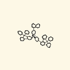 c1ccc(C2(c3ccccc3)c3ccccc3-c3ccc(N(c4ccc(-c5cccc6c5-c5ccccc5C6(c5ccccc5)c5ccccc5)cc4)c4ccc(-c5cccc6ccccc56)cc4)cc32)cc1